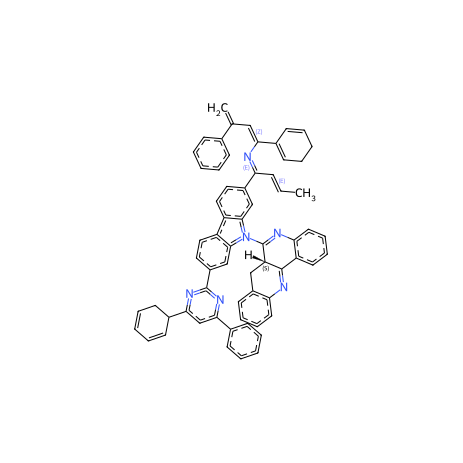 C=C(\C=C(/N=C(\C=C\C)c1ccc2c3ccc(-c4nc(-c5ccccc5)cc(C5C=CC=CC5)n4)cc3n(C3=Nc4ccccc4C4=Nc5ccccc5C[C@@H]43)c2c1)C1=CCCC=C1)c1ccccc1